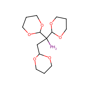 PC(CC1OCCCO1)(C1OCCCO1)C1OCCCO1